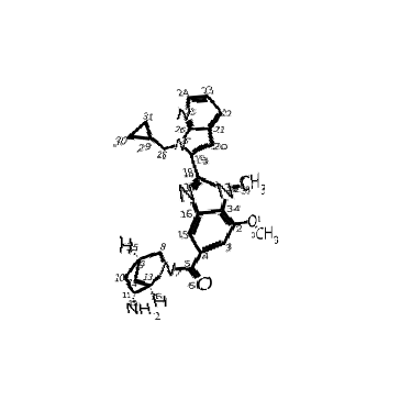 COc1cc(C(=O)N2C[C@@H]3C[C@@H](N)[C@H]2C3)cc2nc(-c3cc4cccnc4n3CC3CC3)n(C)c12